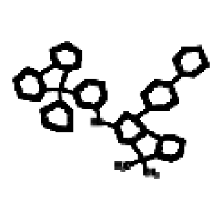 CC1(C)c2ccccc2-c2c(-c3ccc(-c4ccccc4)cc3)cc(Nc3cccc(C4(c5ccccc5)c5ccccc5-c5ccccc54)c3)cc21